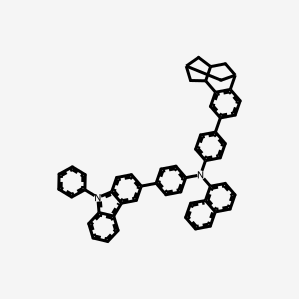 c1ccc(-n2c3ccccc3c3cc(-c4ccc(N(c5ccc(-c6ccc7c(c6)C6CC8CC7CC6C8)cc5)c5cccc6ccccc56)cc4)ccc32)cc1